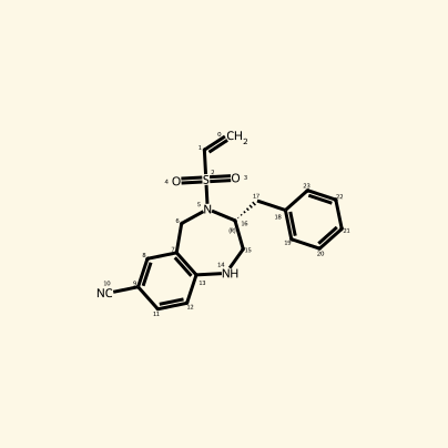 C=CS(=O)(=O)N1Cc2cc(C#N)ccc2NC[C@H]1Cc1ccccc1